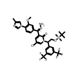 COc1cc(/C(=N\N)c2cc(Cl)cn(C(CO[Si](C)(C)C(C)(C)C)c3cc(C(F)(F)F)cc(C(F)(F)F)c3)c2=O)ccc1-n1cnc(C)c1